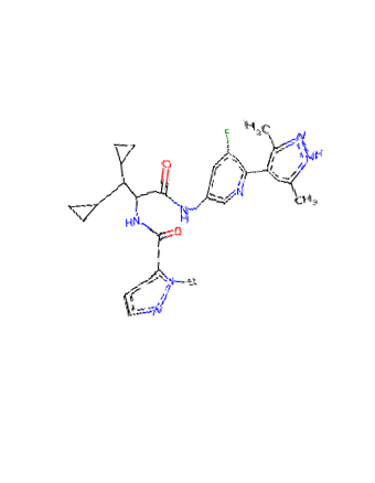 CCn1nccc1C(=O)NC(C(=O)Nc1cnc(-c2c(C)n[nH]c2C)c(F)c1)C(C1CC1)C1CC1